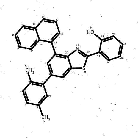 Cc1ccc(C)c(-c2cc(-c3cccc4ccccc34)c3nc(-c4ccccc4O)sc3c2)c1